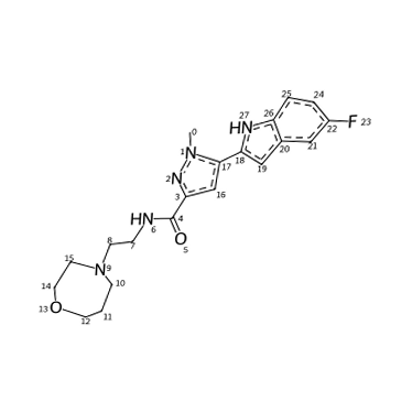 Cn1nc(C(=O)NCCN2CCCOCC2)cc1-c1cc2cc(F)ccc2[nH]1